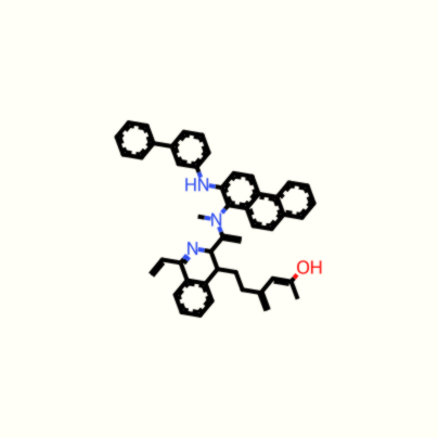 C=CC1=NC(C(=C)N(C)c2c(Nc3cccc(-c4ccccc4)c3)ccc3c2ccc2ccccc23)C(CCC(=C)/C=C(\C)O)c2ccccc21